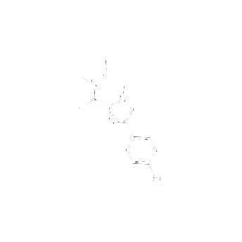 CON(C)C(=O)c1nc(-c2ccc(Br)cc2)cn1C